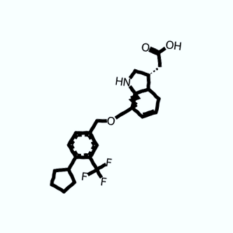 O=C(O)C[C@H]1CNC23C=CC(OCc4ccc(C5CCCC5)c(C(F)(F)F)c4)=C2C=CCC13